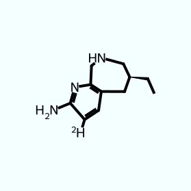 [2H]c1cc2c(nc1N)CNC[C@@H](CC)C2